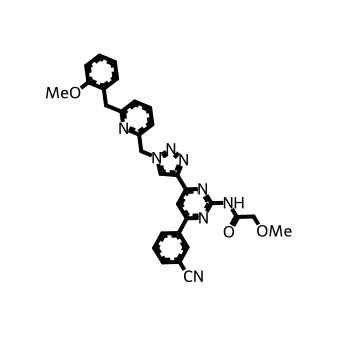 COCC(=O)Nc1nc(-c2cccc(C#N)c2)cc(-c2cn(Cc3cccc(Cc4ccccc4OC)n3)nn2)n1